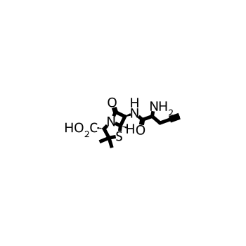 C#CCC(N)C(=O)N[C@@H]1C(=O)N2[C@@H]1SC(C)(C)[C@@H]2C(=O)O